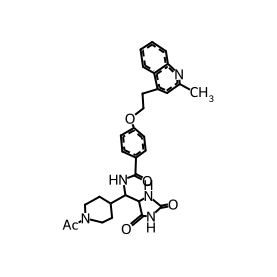 CC(=O)N1CCC(C(NC(=O)c2ccc(OCCc3cc(C)nc4ccccc34)cc2)C2NC(=O)NC2=O)CC1